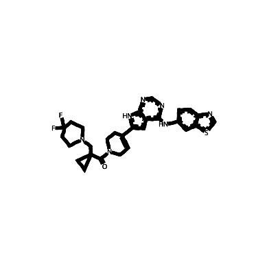 O=C(N1CC=C(c2cc3c(Nc4ccc5ncsc5c4)ncnc3[nH]2)CC1)C1(CN2CCC(F)(F)CC2)CC1